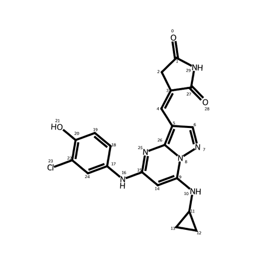 O=C1CC(=Cc2cnn3c(NC4CC4)cc(Nc4ccc(O)c(Cl)c4)nc23)C(=O)N1